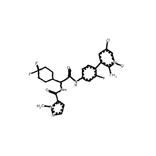 Cc1c(-c2ccc(NC(=O)C(NC(=O)c3ccnn3C)C3CCC(F)(F)CC3)cc2F)cc(Cl)c[n+]1[O-]